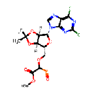 CCCCOC(=O)C(OC[C@H]1O[C@@H](n2cnc3c(Cl)nc(Cl)nc32)[C@@H]2OC(C)(C)O[C@@H]21)P=O